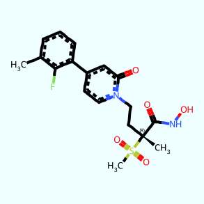 Cc1cccc(-c2ccn(CC[C@](C)(C(=O)NO)S(C)(=O)=O)c(=O)c2)c1F